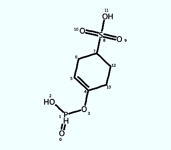 O=[PH](O)OC1=CCC(S(=O)(=O)O)CC1